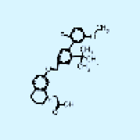 COc1ccc(F)c(-c2ccc(COc3ccc4c(c3)[C@H](CC(=O)O)CCC4)cc2C(C)(C)C)c1